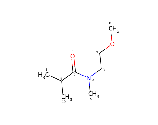 COCCN(C)C(=O)C(C)C